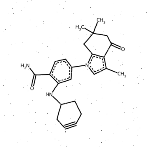 Cc1cn(-c2ccc(C(N)=O)c(NC3CC#CCC3)c2)c2c1C(=O)CC(C)(C)C2